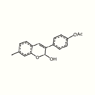 CC(=O)Oc1ccc(C2=Cc3ccc(C)cc3OC2O)cc1